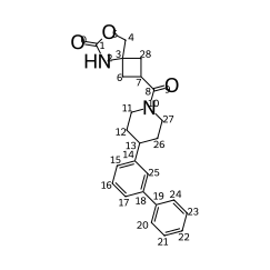 O=C1NC2(CO1)CC(C(=O)N1CCC(c3cccc(-c4ccccc4)c3)CC1)C2